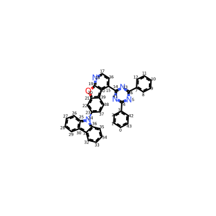 c1ccc(-c2nc(-c3ccccc3)nc(-c3ccnc4oc5cc(-n6c7ccccc7c7ccccc76)ccc5c34)n2)cc1